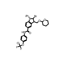 CC(C)N1c2ccc(C(=O)Nc3ccc(OC(F)(F)Cl)cc3)cc2C(COC2CCCCO2)C1Br